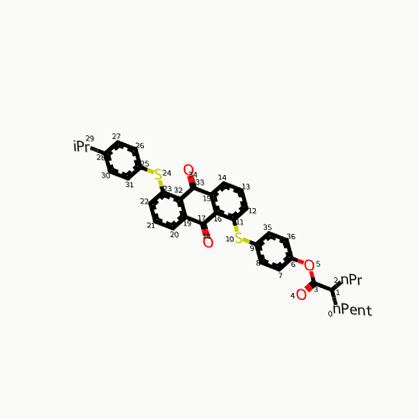 CCCCCC(CCC)C(=O)Oc1ccc(Sc2cccc3c2C(=O)c2cccc(Sc4ccc(C(C)C)cc4)c2C3=O)cc1